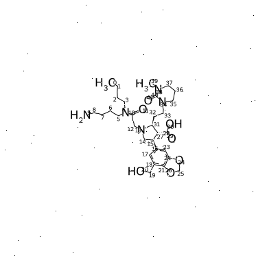 CCCCN(CCCCN)C(=O)CN1C[C@H](c2cc(CO)c3c(c2)OCO3)[C@@H](C(=O)O)[C@@H]1CCN1CCCN(C)C1=O